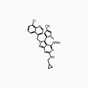 CNc1nc(NCC2CC2)nc2nn(Cc3ccnc4c(Cl)cccc34)c(-c3cc(C#N)cn3C)c12